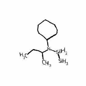 CCC(C)N([SiH2][SiH3])C1CCCCC1